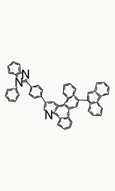 c1ccc(-n2c(-c3ccc(-c4cnc5c6ccccc6c6cc(-c7cc8ccccc8c8ccccc78)c7ccccc7c6c5c4)cc3)nc3ccccc32)cc1